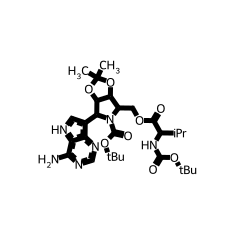 CC(C)C(NC(=O)OC(C)(C)C)C(=O)OCC1C2OC(C)(C)OC2C(c2c[nH]c3c(N)ncnc23)N1C(=O)OC(C)(C)C